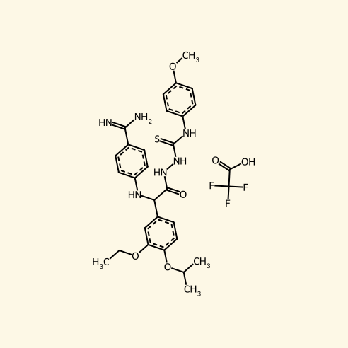 CCOc1cc(C(Nc2ccc(C(=N)N)cc2)C(=O)NNC(=S)Nc2ccc(OC)cc2)ccc1OC(C)C.O=C(O)C(F)(F)F